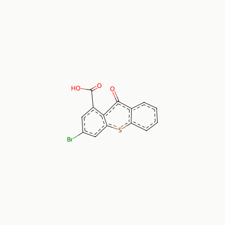 O=C(O)c1cc(Br)cc2sc3ccccc3c(=O)c12